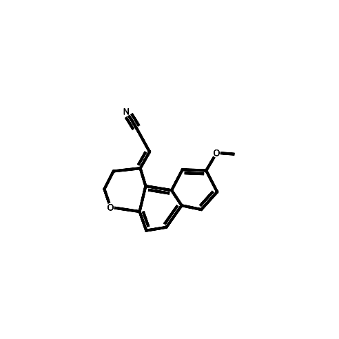 COc1ccc2ccc3c(c2c1)/C(=C/C#N)CCO3